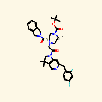 C[C@@H]1CN(CC(=O)N2CC(C)(C)c3cnc(Cc4ccc(F)cc4F)cc32)[C@H](C(=O)N2Cc3ccccc3C2)CN1C(=O)OC(C)(C)C